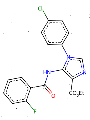 CCOC(=O)c1ncn(-c2ccc(Cl)cc2)c1NC(=O)c1ccccc1F